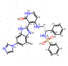 Cc1cc(-n2ccnc2)cc2[nH]c(-c3c(NC[C@@H](NS(=O)(=O)c4ccccc4)c4ccccc4)cc[nH]c3=O)nc12